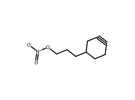 O=[N+]([O-])OCCCC1CC#CCC1